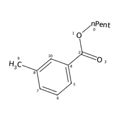 CCCCCOC(=O)c1cccc(C)c1